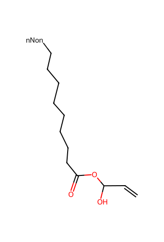 C=CC(O)OC(=O)CCCCCCCCCCCCCCCCC